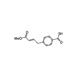 COC(=O)/C=C/Cc1ccc(C(=O)S)cc1